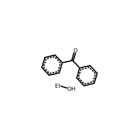 CCO.O=C(c1ccccc1)c1ccccc1